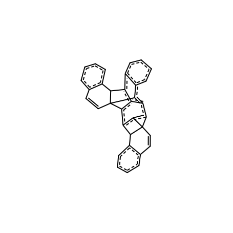 C1=CC23c4c(c5c6c7c8ccccc8c(c6c42)C52C=Cc4ccccc4C72)C3c2ccccc21